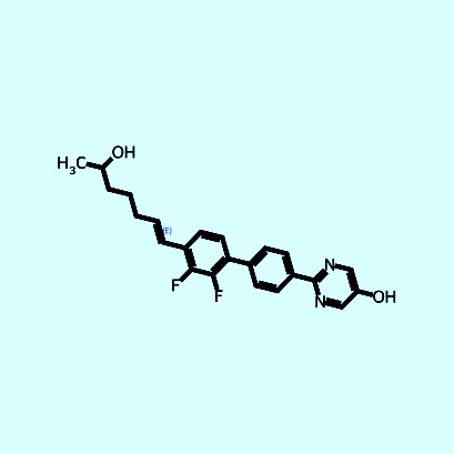 CC(O)CCC/C=C/c1ccc(-c2ccc(-c3ncc(O)cn3)cc2)c(F)c1F